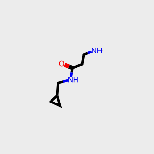 [NH]CCC(=O)NCC1CC1